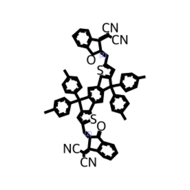 Cc1ccc(C2(c3ccc(C)cc3)c3cc4c(cc3-c3sc(/C=C5\C(=O)c6ccccc6C5=C(C#N)C#N)cc32)C(c2ccc(C)cc2)(c2ccc(C)cc2)c2cc(/C=C3\C(=O)c5ccccc5C3=C(C#N)C#N)sc2-4)cc1